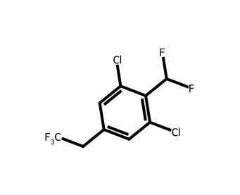 FC(F)c1c(Cl)cc(CC(F)(F)F)cc1Cl